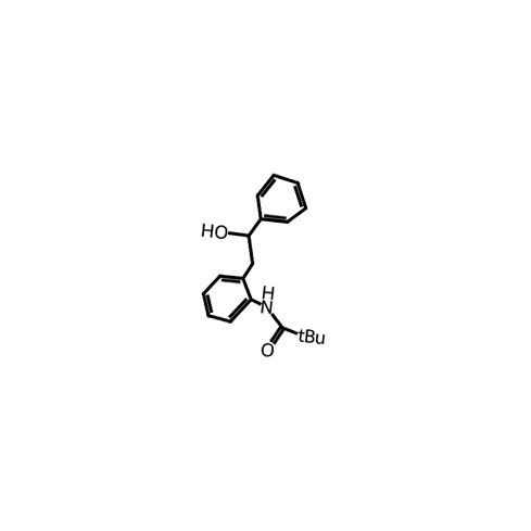 CC(C)(C)C(=O)Nc1ccccc1CC(O)c1ccccc1